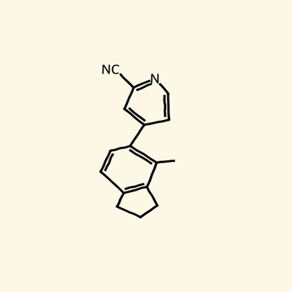 Cc1c(-c2ccnc(C#N)c2)ccc2c1CCC2